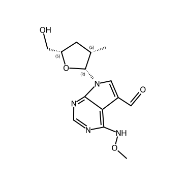 CONc1ncnc2c1c(C=O)cn2[C@@H]1O[C@H](CO)C[C@@H]1C